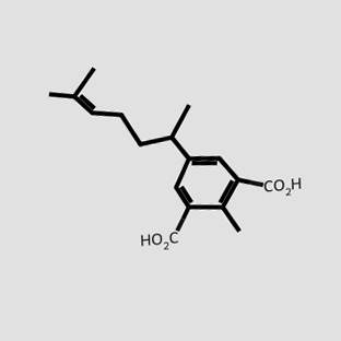 CC(C)=CCCC(C)c1cc(C(=O)O)c(C)c(C(=O)O)c1